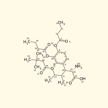 CCCC(=O)Oc1ccc(C(C(C)C(C)OC(=O)CC(C)(C)C)[C@H](N)C(=O)O)cc1OC(=O)CCC